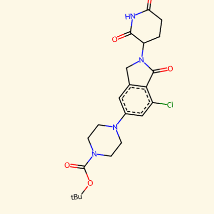 CC(C)(C)OC(=O)N1CCN(c2cc(Cl)c3c(c2)CN(C2CCC(=O)NC2=O)C3=O)CC1